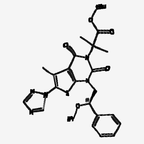 Cc1c(-n2cncn2)sc2c1c(=O)n(C(C)(C)C(=O)OC(C)(C)C)c(=O)n2C[C@H](OC(C)C)c1ccccc1